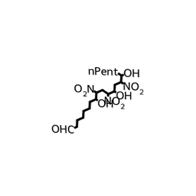 CCCCCC(O)C(CC(O)C(CC(C(O)CCCCCCC=O)[N+](=O)[O-])[N+](=O)[O-])[N+](=O)[O-]